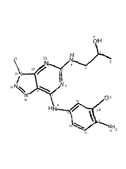 CC(O)CNc1nc(Nc2ccc(N)c(Cl)c2)c2nnn(C)c2n1